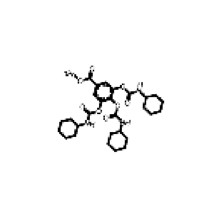 CCCOC(=O)c1cc(OC(=O)NC2CCCCC2)c(OC(=O)NC2CCCCC2)c(OC(=O)NC2CCCCC2)c1